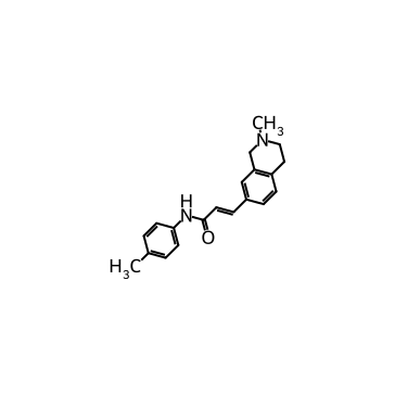 Cc1ccc(NC(=O)C=Cc2ccc3c(c2)CN(C)CC3)cc1